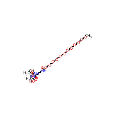 COCCOCCOCCOCCOCCOCCOCCOCCOCCOCCOCCOCC(=O)NCCCCC(NC(=O)OC(C)(C)C)C(=O)NC(C)C(=O)O